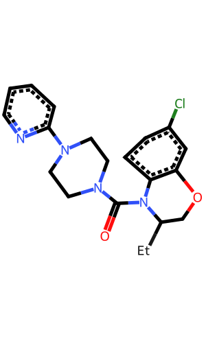 CCC1COc2cc(Cl)ccc2N1C(=O)N1CCN(c2ccccn2)CC1